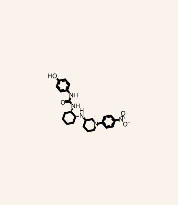 O=C(Nc1ccc(O)cc1)N[C@@H]1CCCC[C@H]1NC1CCCN(c2ccc([N+](=O)[O-])cc2)C1